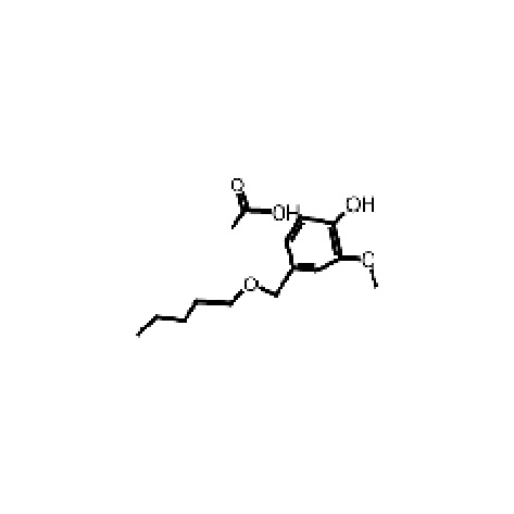 CC(=O)O.CCCCCOCc1ccc(O)c(OC)c1